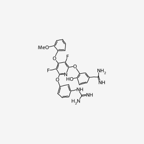 COc1ccccc1Oc1c(F)c(Oc2cccc(NC(=N)N)c2)nc(Oc2cc(C(=N)N)ccc2O)c1F